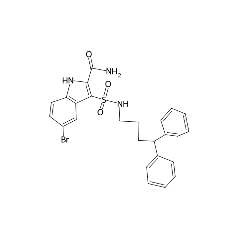 NC(=O)c1[nH]c2ccc(Br)cc2c1S(=O)(=O)NCCCC(c1ccccc1)c1ccccc1